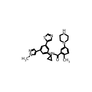 Cc1ccc(N2CCNCC2)cc1C(=O)NC1(c2cc(-c3cnn(C)c3)cc(-c3cncs3)c2)CC1